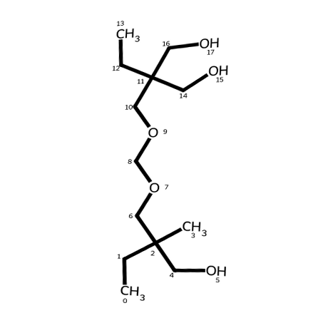 CCC(C)(CO)COCOCC(CC)(CO)CO